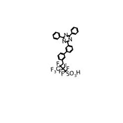 O=S(=O)(O)C(F)(F)C(F)(F)C(F)(Cc1cccc(-c2cccc(-c3nc(-c4ccccc4)nc(-c4ccccc4)n3)c2)c1)C(F)(F)F